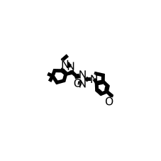 CCn1nc(-c2nc(N3CCc4cc(C=O)ccc43)no2)c2c1CC(C)(C)CC2